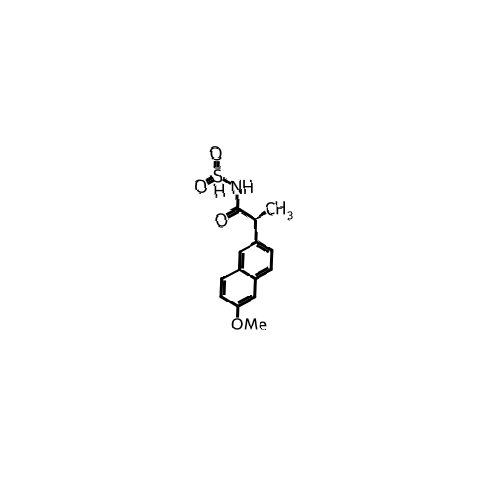 COc1ccc2cc([C@H](C)C(=O)N[SH](=O)=O)ccc2c1